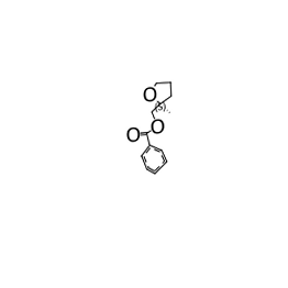 C[C@@]1(COC(=O)c2ccccc2)CCCO1